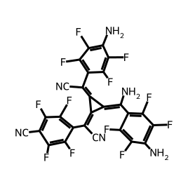 N#C/C(=C1\C(=C(N)c2c(F)c(F)c(N)c(F)c2F)\C1=C(\C#N)c1c(F)c(F)c(N)c(F)c1F)c1c(F)c(F)c(C#N)c(F)c1F